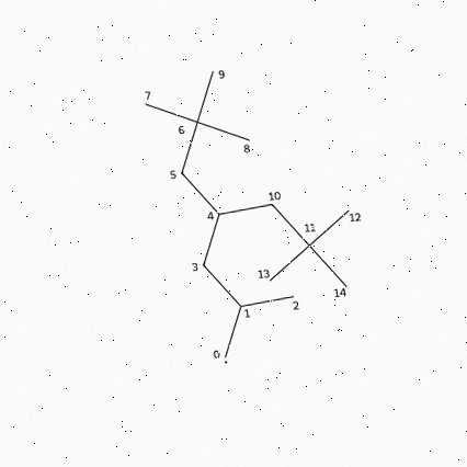 [CH2]C(C)CC(CC(C)(C)C)CC(C)(C)C